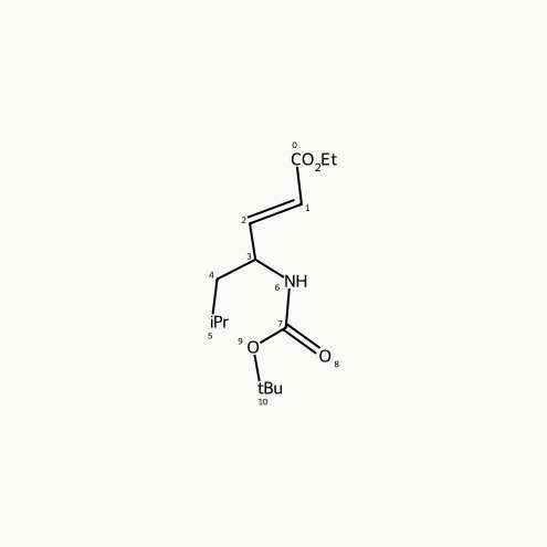 CCOC(=O)C=CC(CC(C)C)NC(=O)OC(C)(C)C